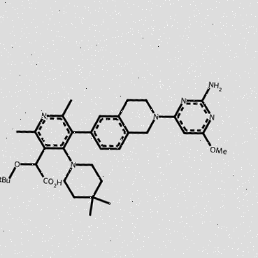 COc1cc(N2CCc3cc(-c4c(C)nc(C)c(C(OC(C)(C)C)C(=O)O)c4N4CCC(C)(C)CC4)ccc3C2)nc(N)n1